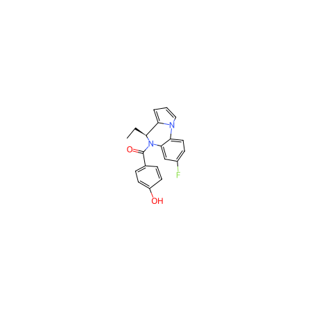 CC[C@H]1c2cccn2-c2ccc(F)cc2N1C(=O)c1ccc(O)cc1